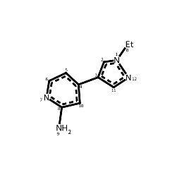 CCn1cc(-c2ccnc(N)c2)cn1